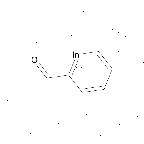 O=C[C]1=[In][CH]=CC=C1